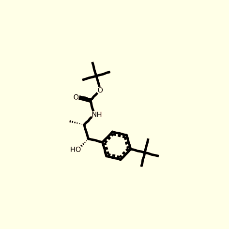 C[C@H](NC(=O)OC(C)(C)C)[C@@H](O)c1ccc(C(C)(C)C)cc1